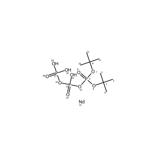 CC(C)(C)OP(=O)(OC(C)(C)C)OP(=O)(O)OP(=O)(O)O.[Nd]